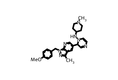 COc1ccc(Cn2nc(C)c3cc(C4C=NC=CN4NC4CCN(C)CC4)cnc32)cc1